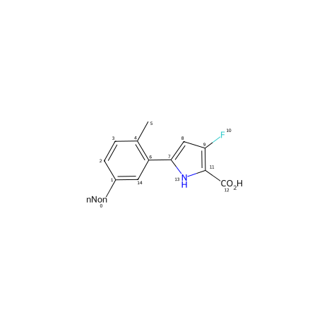 CCCCCCCCCc1ccc(C)c(-c2cc(F)c(C(=O)O)[nH]2)c1